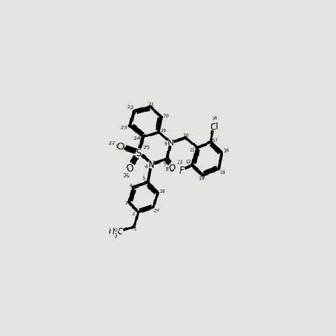 CCc1ccc(N2C(=O)N(Cc3c(F)cccc3Cl)c3ccccc3S2(=O)=O)cc1